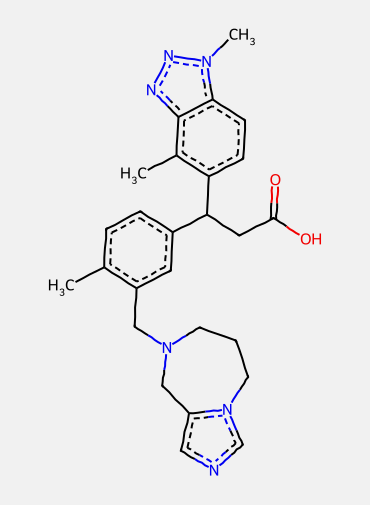 Cc1ccc(C(CC(=O)O)c2ccc3c(nnn3C)c2C)cc1CN1CCCn2cncc2C1